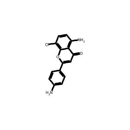 Nc1ccc(-c2cc(=O)c3c(N)ccc(Cl)c3o2)cc1